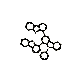 c1ccc(-n2c3ccccc3c3cc(-c4cccc5c4sc4ccccc45)cc(-c4cccc5c4sc4ccccc45)c32)cc1